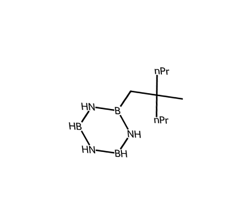 CCCC(C)(CCC)CB1NBNBN1